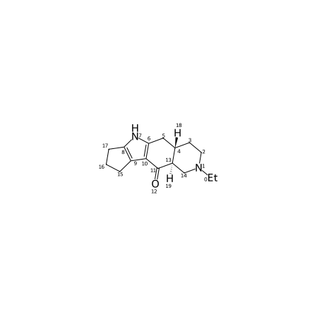 CCN1CC[C@H]2Cc3[nH]c4c(c3C(=O)[C@@H]2C1)CCC4